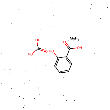 O=C(O)O.O=C(O)c1ccccc1O.[MgH2]